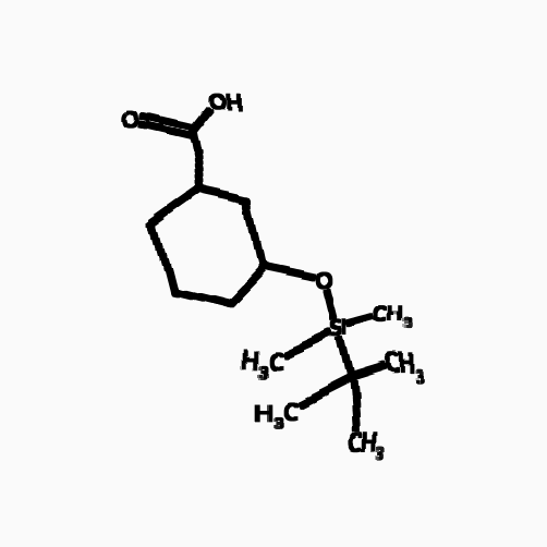 CC(C)(C)[Si](C)(C)OC1CCCC(C(=O)O)C1